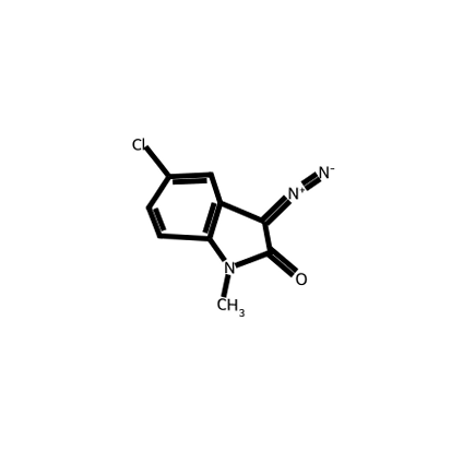 CN1C(=O)C(=[N+]=[N-])c2cc(Cl)ccc21